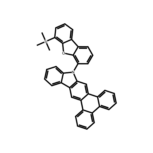 C[Si](C)(C)c1cccc2c1oc1c(-n3c4ccccc4c4cc5c6ccccc6c6ccccc6c5cc43)cccc12